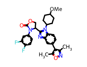 COC1CCC(n2c(C3COC(=O)N3c3ccc(F)c(F)c3)nc3cc(-c4c(C)noc4C)ccc32)CC1